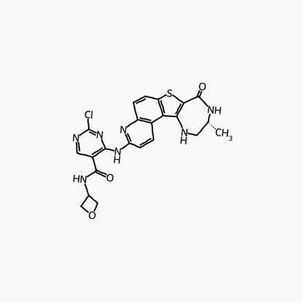 C[C@@H]1CNc2c(sc3ccc4nc(Nc5nc(Cl)ncc5C(=O)NC5COC5)ccc4c23)C(=O)N1